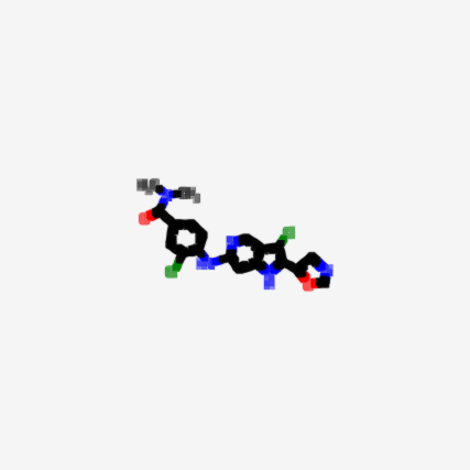 CN(C)C(=O)c1ccc(Nc2cc3[nH]c(-c4cnco4)c(Cl)c3cn2)c(Cl)c1